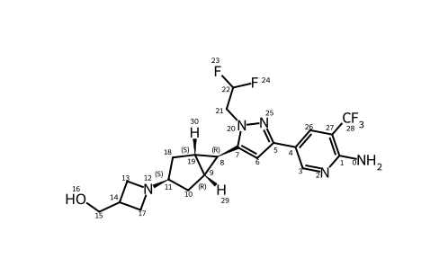 Nc1ncc(-c2cc([C@H]3[C@@H]4C[C@@H](N5CC(CO)C5)C[C@@H]43)n(CC(F)F)n2)cc1C(F)(F)F